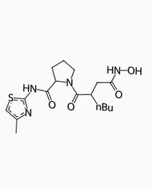 CCCCC(CC(=O)NO)C(=O)N1CCCC1C(=O)Nc1nc(C)cs1